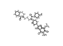 CCCn1c(=O)c2[nH]c(-c3ccc(N(CCCN4CCc5ccccc5C4=O)C(=O)c4ccc(F)cc4)nc3)nc2n(C2CC2)c1=O